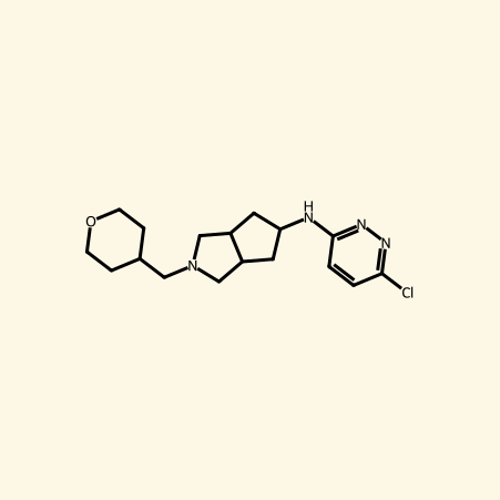 Clc1ccc(NC2CC3CN(CC4CCOCC4)CC3C2)nn1